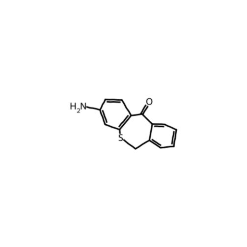 Nc1ccc2c(c1)SCc1ccccc1C2=O